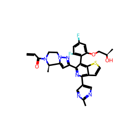 C=CC(=O)N1CCn2nc(-c3nc(-c4cnc(C)nc4)c4ccsc4c3-c3c(F)cc(F)cc3OC[C@@H](C)O)cc2[C@H]1C